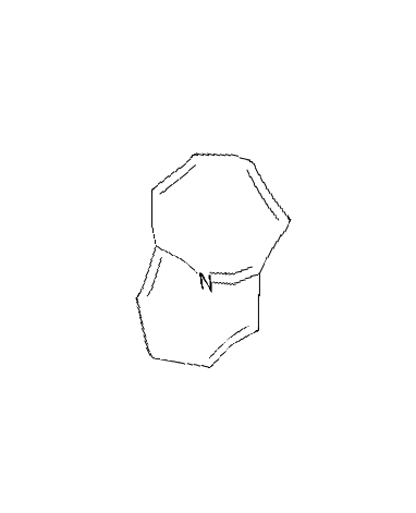 C1=CC2=CCC=CC(=N2)C=C1